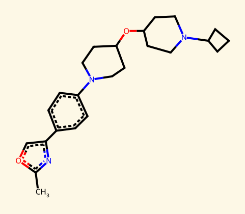 Cc1nc(-c2ccc(N3CCC(OC4CCN(C5CCC5)CC4)CC3)cc2)co1